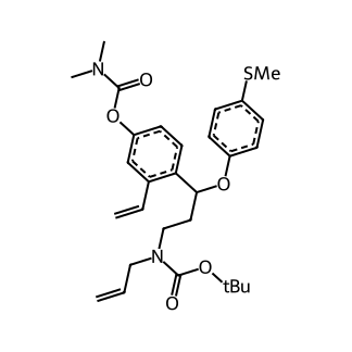 C=CCN(CCC(Oc1ccc(SC)cc1)c1ccc(OC(=O)N(C)C)cc1C=C)C(=O)OC(C)(C)C